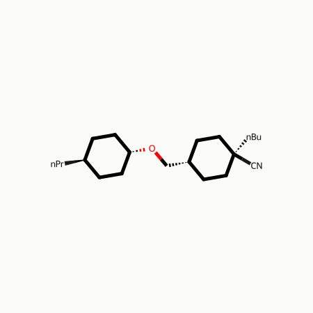 CCCC[C@]1(C#N)CC[C@H](CO[C@H]2CC[C@H](CCC)CC2)CC1